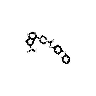 O=C(Nc1ccc(Oc2ccccc2)cc1)N1CCN(c2ncnc3ccc([N+](=O)[O-])cc23)CC1